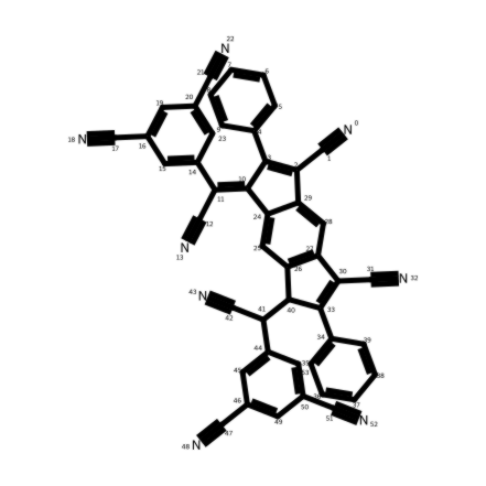 N#CC1=C(c2ccccc2)/C(=C(/C#N)c2cc(C#N)cc(C#N)c2)c2cc3c(cc21)C(C#N)=C(c1ccccc1)C3C(C#N)c1cc(C#N)cc(C#N)c1